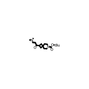 CN(C)C=CC(=O)C1CC2(CCN(C(=O)OC(C)(C)C)CC2)C1